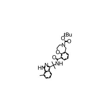 Cc1cccc2c(C(C)(C)NC(=O)c3cccc4c3OCCN(C(=O)OC(C)(C)C)C4)n[nH]c12